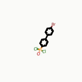 O=P(Cl)(Cl)c1ccc(-c2ccc(Br)cc2)cc1